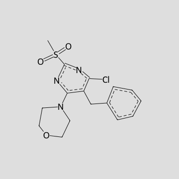 CS(=O)(=O)c1nc(Cl)c(Cc2ccccc2)c(N2CCOCC2)n1